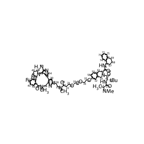 CN[C@@H](C)C(=O)N[C@H](C(=O)N1Cc2cc(OCCOCCOCCC(=O)N(C)CCn3cc4c(n3)CN(C)C(=O)c3ccc(F)cc3[C@H]3CCCN3c3cc-4cnc3N)ccc2C[C@H]1C(=O)N[C@@H]1CCCc2ccccc21)C(C)(C)C